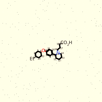 CC[C@H]1CC[C@@H](Oc2ccc(C3CCCCN3CCCC(=O)O)cc2)CC1